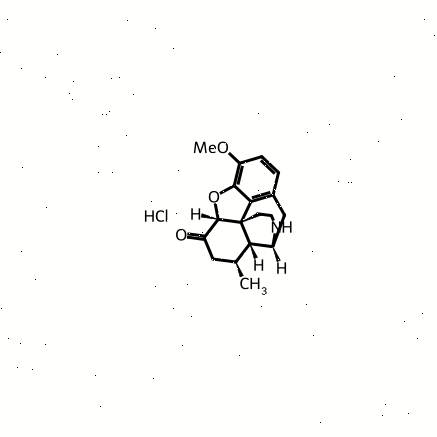 COc1ccc2c3c1O[C@H]1C(=O)C[C@H](C)[C@H]4[C@@H](C2)NCC[C@@]341.Cl